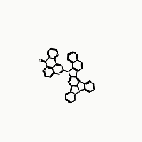 O=C1c2ccccc2-c2nc(-n3c4cc5c6ccccc6n6c7ccccc7c(c4c4ccc7ccccc7c43)c56)nc3cccc1c23